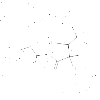 CCC(S)OC(=O)C(C)(S)C(S)CC